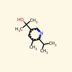 Cc1cc(C(C)(C)O)cnc1C(C)C